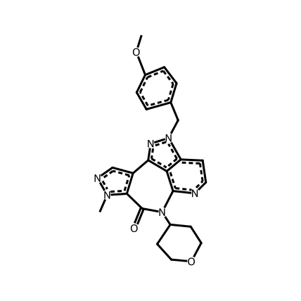 COc1ccc(Cn2nc3c4c(nccc42)N(C2CCOCC2)C(=O)c2c-3cnn2C)cc1